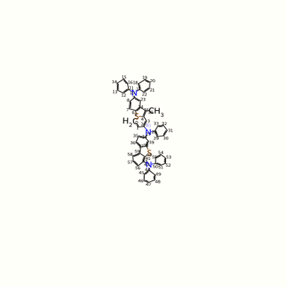 C=C/C(=C\c1sc2ccc(N(c3ccccc3)c3ccccc3)cc2c1C)N(c1ccccc1)c1ccc2c(c1)sc1c(N(c3ccccc3)c3ccccc3)cccc12